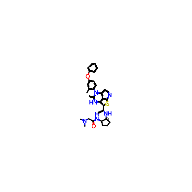 C=C(N[C@H]1CCCC1NC(=O)CN(C)C)c1sc2nccc3c2c1[nH]c(=C)n3-c1ccc(Oc2ccccc2)cc1C